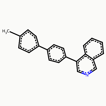 Cc1ccc(-c2ccc(-c3cncc4ccccc34)cc2)cc1